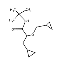 CC(C)(C)NC(=O)C(CC1CC1)OCC1CC1